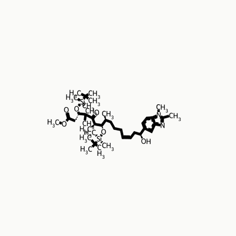 COC(=O)C[C@H](O[Si](C)(C)C(C)(C)C)C(C)(C)C(=O)[C@H](C)[C@@H](O[Si](C)(C)C(C)(C)C)[C@@H](C)CCC/C=C\C[C@H](O)c1ccc2c(c1)nc(C)n2C